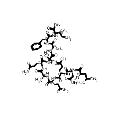 CC[C@H](C)[C@H](NC(=O)[C@H](Cc1ccccc1)NC(=O)[C@H](C)NC(=O)C(C)(C)NC(=O)[C@H](CCC(N)=O)NC(=O)[C@H](C)NC(=O)[C@H](CCC(N)=O)NC(=O)[C@H](CCC(=O)O)NC(=O)[C@H](CC(=O)O)NC(=O)[C@@H](N)CC(C)C)C(=O)O